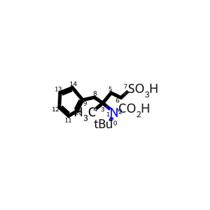 CC(C)(C)N(C(=O)O)C(C)(CCS(=O)(=O)O)Cc1ccccc1